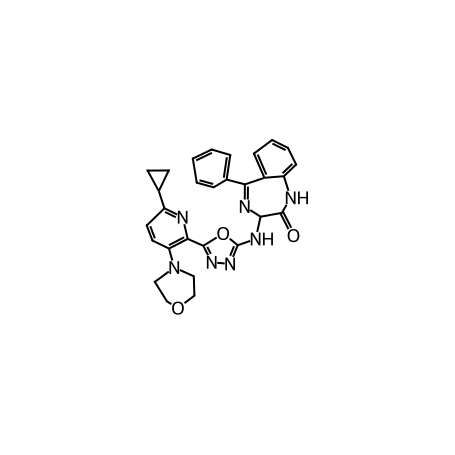 O=C1Nc2ccccc2C(c2ccccc2)=NC1Nc1nnc(-c2nc(C3CC3)ccc2N2CCOCC2)o1